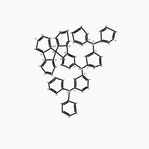 c1ccc(N(c2ccccc2)c2cccc(N(c3cccc(N(c4ccccc4)c4ccccc4)c3)c3ccc4c(c3)-c3ccccc3C43c4ccccc4-c4ccccc43)c2)cc1